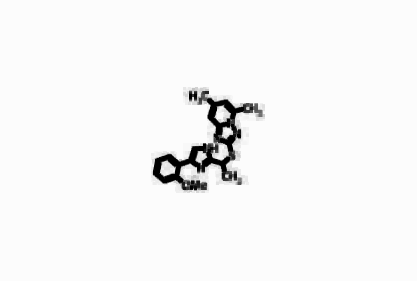 COc1ccccc1-c1c[nH]c(C(C)Sc2nc3cc(C)cc(C)n3n2)n1